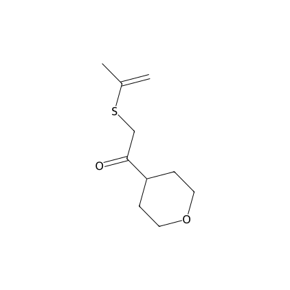 C=C(C)SCC(=O)C1CCOCC1